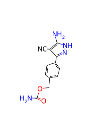 N#Cc1c(-c2ccc(COC(N)=O)cc2)n[nH]c1N